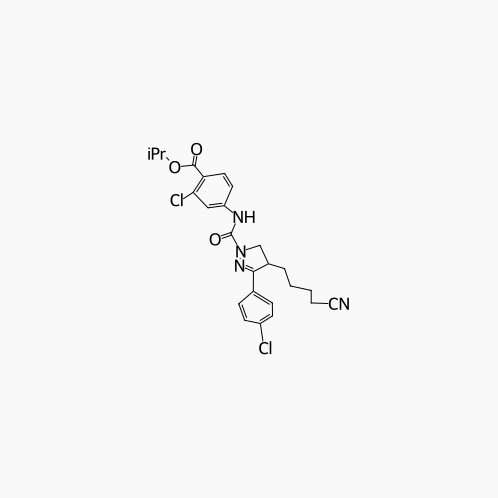 CC(C)OC(=O)c1ccc(NC(=O)N2CC(CCCCC#N)C(c3ccc(Cl)cc3)=N2)cc1Cl